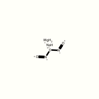 O=NON=O.[MgH2].[NaH]